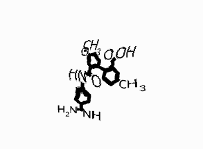 COc1ccc(-c2ccc(C)cc2C(=O)O)c(C(=O)Nc2ccc(C(=N)N)cc2)c1